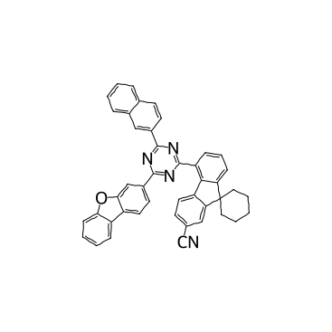 N#Cc1ccc2c(c1)C1(CCCCC1)c1cccc(-c3nc(-c4ccc5ccccc5c4)nc(-c4ccc5c(c4)oc4ccccc45)n3)c1-2